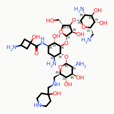 NC[C@@H]1O[C@H](O[C@H]2[C@@H](O)[C@H](O[C@@H]3[C@@H](O)[C@H](NC(=O)C4(O)CC(N)C4)C[C@H](N)[C@H]3O[C@H]3O[C@H](CNCC4(O)CCNCC4)[C@@H](O)[C@H](O)[C@H]3N)O[C@@H]2CO)[C@H](N)[C@@H](O)[C@@H]1O